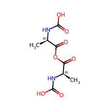 C[C@@H](NC(=O)O)C(=O)OC(=O)[C@@H](C)NC(=O)O